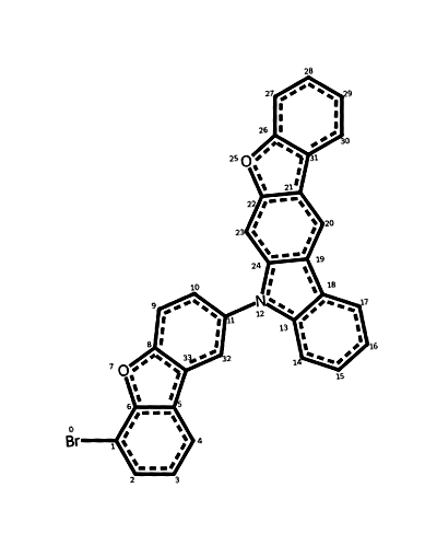 Brc1cccc2c1oc1ccc(-n3c4ccccc4c4cc5c(cc43)oc3ccccc35)cc12